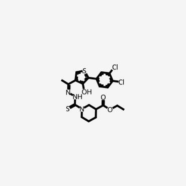 CCOC(=O)C1CCCN(C(=S)NN=C(C)c2csc(-c3ccc(Cl)c(Cl)c3)c2O)C1